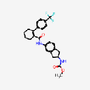 COC(=O)NC1Cc2ccc(NC(=O)C3=C(c4ccc(C(F)(F)F)cc4)CCCC3)cc2C1